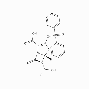 C[C@@H](O)[C@H]1C(=O)N2C(C(=O)O)=C(OP(=O)(c3ccccc3)c3ccccc3)C[C@H]12